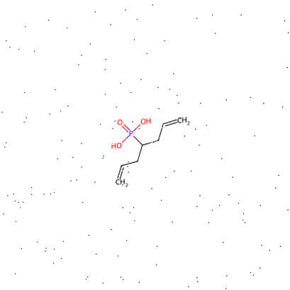 C=CC[C](CC=C)P(=O)(O)O